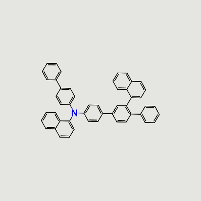 c1ccc(-c2ccc(N(c3ccc(-c4ccc(-c5ccccc5)c(-c5cccc6ccccc56)c4)cc3)c3cccc4ccccc34)cc2)cc1